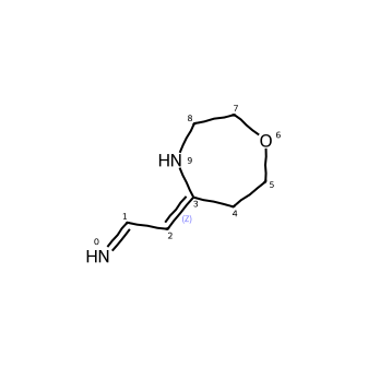 N=C/C=C1/CCOCCN1